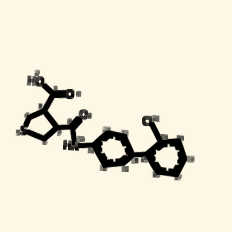 O=C(O)C1CSCC1C(=O)Nc1ccc(-c2ccccc2Cl)cc1